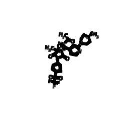 CC(=O)NC(c1ccnc(N2CCN(C)CC2)c1)N1C(=O)N(c2ccc(S(=O)(=O)C(F)(F)F)cc2)C(=O)C1(C)C